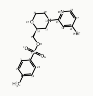 Cc1ccc(S(=O)(=O)OC[C@@H]2CN(c3cc(Br)ccn3)CCO2)cc1